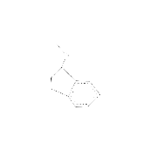 COC1C[C]c2ccccc21